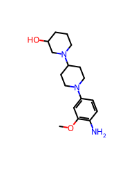 COc1cc(N2CCC(N3CCCC(O)C3)CC2)ccc1N